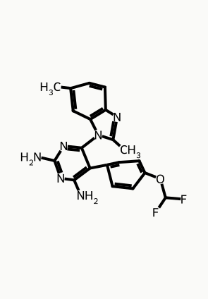 Cc1ccc2nc(C)n(-c3nc(N)nc(N)c3-c3ccc(OC(F)F)cc3)c2c1